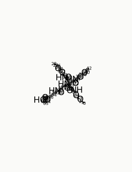 C#CCOCCOCCNC(=O)CCC(CCC(=O)NCCOCCOCC#C)(CCC(=O)NCCOCCOCC#C)NC(=O)CCCC(=O)NCCCCCCOP(=O)(O)C(C)(C)C